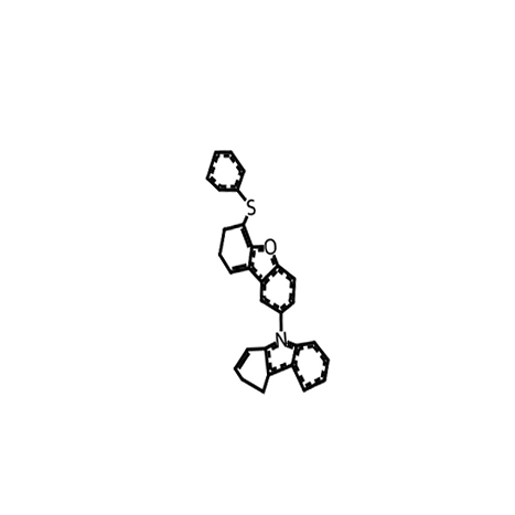 C1=Cc2c(c3ccccc3n2-c2ccc3oc4c(c3c2)=CCCC=4Sc2ccccc2)CC1